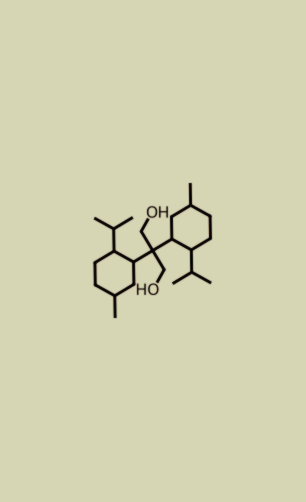 CC1CCC(C(C)C)C(C(CO)(CO)C2CC(C)CCC2C(C)C)C1